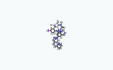 C=C/C(C/C(=C/C)c1cc(I)ccc1Cc1cc(C2=NC=C(/C=C\c3cccnc3)CC2)cc(/C=C\C)c1C)=C(\C)C(=C)C#N